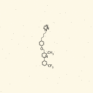 Cc1nc(-c2cccc(C(F)(F)F)c2)ccc1COc1ccc(CCCCn2ccnn2)cc1